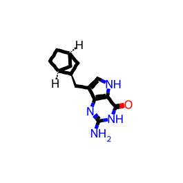 Nc1nc2c(C[C@@H]3C[C@@H]4CC[C@H]3C4)c[nH]c2c(=O)[nH]1